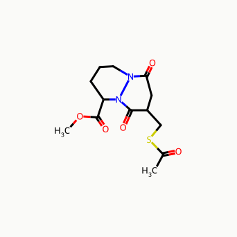 COC(=O)C1CCCN2C(=O)CC(CSC(C)=O)C(=O)N12